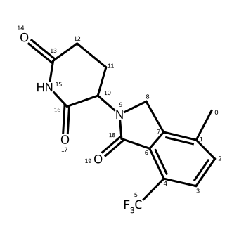 Cc1ccc(C(F)(F)F)c2c1CN(C1CCC(=O)NC1=O)C2=O